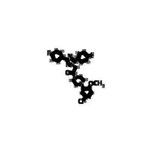 COc1ccc(Cl)cc1N1CCN(C(=O)Cn2nc(-c3ccc(F)cc3)nc2-c2ccc(F)cc2)CC1